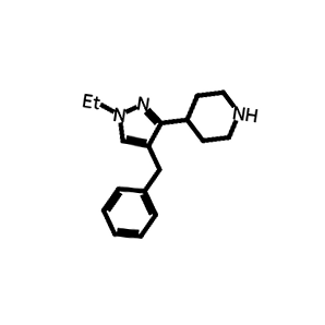 CCn1cc(Cc2ccccc2)c(C2CCNCC2)n1